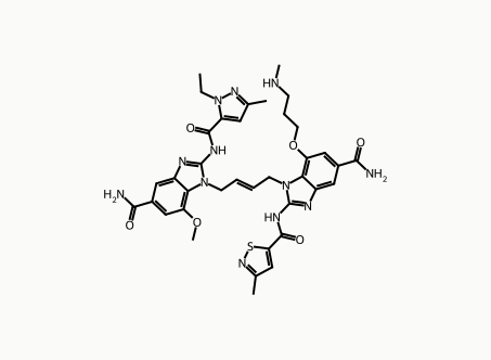 CCn1nc(C)cc1C(=O)Nc1nc2cc(C(N)=O)cc(OC)c2n1C/C=C/Cn1c(NC(=O)c2cc(C)ns2)nc2cc(C(N)=O)cc(OCCCNC)c21